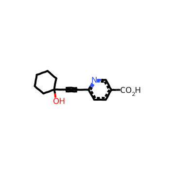 O=C(O)c1ccc(C#CC2(O)CCCCC2)nc1